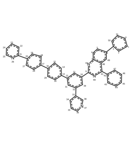 c1ccc(-c2ccc3nc(-c4cc(-c5ccc(-c6ccc(-c7ccccn7)cc6)cc5)cc(-c5cccnc5)c4)nc(-c4ccccc4)c3c2)cc1